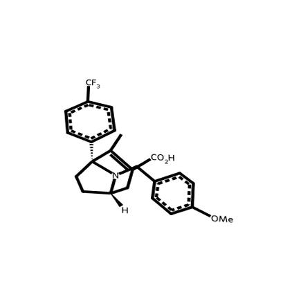 COc1ccc(CN2[C@H]3CC[C@@]2(c2ccc(C(F)(F)F)cc2)C(C)=C(C(=O)O)C3)cc1